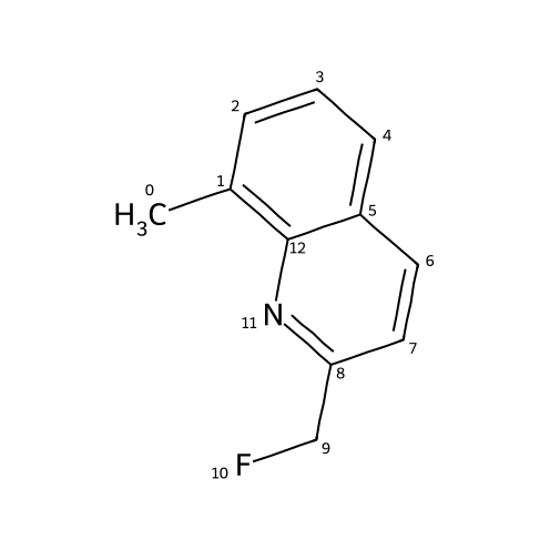 Cc1cccc2ccc(CF)nc12